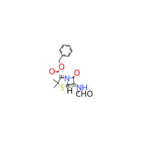 CC1(C)S[C@@H]2[C@@H](NC=O)C(=O)N2[C@H]1C(=O)OCc1ccccc1